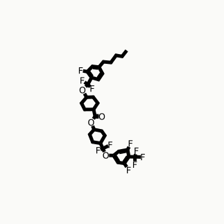 CCCCCc1ccc(C(F)(F)OC2CCC(C(=O)OC3CCC(C(F)(F)Oc4cc(F)c(C(F)(F)F)c(F)c4)CC3)CC2)c(F)c1